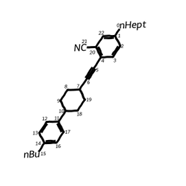 CCCCCCCc1ccc(C#CC2CCC(c3ccc(CCCC)cc3)CC2)c(C#N)c1